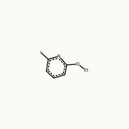 CCOc1cccc(I)n1